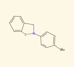 CC(C)(C)c1ccc(N2Cc3ccccc3S2)cc1